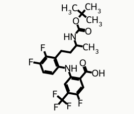 CC(CCc1c(Nc2cc(C(F)(F)F)c(F)cc2C(=O)O)ccc(F)c1F)NC(=O)OC(C)(C)C